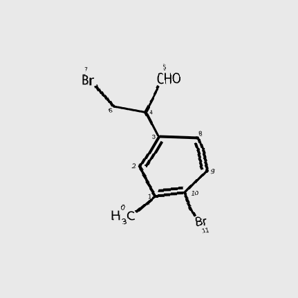 Cc1cc(C(C=O)CBr)ccc1Br